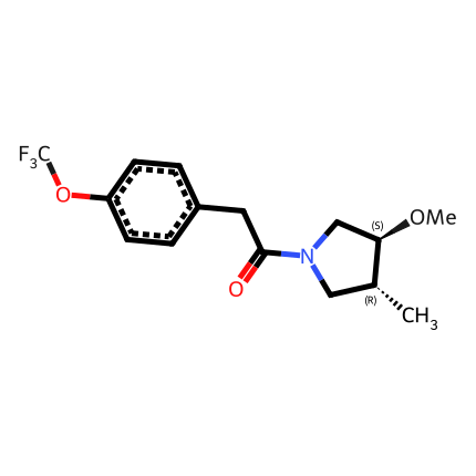 CO[C@@H]1CN(C(=O)Cc2ccc(OC(F)(F)F)cc2)C[C@H]1C